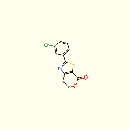 O=C1OCCc2nc(-c3cccc(Cl)c3)sc21